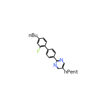 CCCCCc1cnc(-c2ccc(-c3ccc(CCCC)cc3F)cc2)nc1